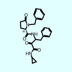 O=C(NC1CC1)C(=O)C(Cc1ccccc1)NC(=O)[C@H]1CCC(=O)N1Cc1ccccc1